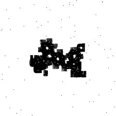 CCCCc1nc2cc(Cl)ccc2n1Cc1ccc(-c2ccccc2C(=O)NS(=O)(=O)C(F)(F)F)cc1